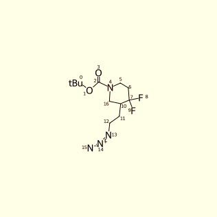 CC(C)(C)OC(=O)N1CCC(F)(F)C(CCN=[N+]=[N-])C1